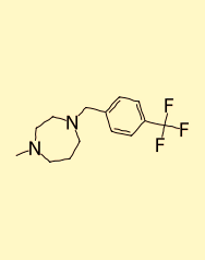 CN1CCCN(Cc2ccc(C(F)(F)F)cc2)CC1